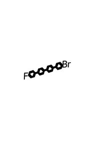 Fc1ccc(-c2ccc(-c3ccc(-c4ccc(Br)cc4)cc3)cc2)cc1